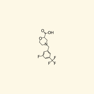 O=C(O)C1CN(Cc2cc(F)cc(C(F)(F)F)c2)CCO1